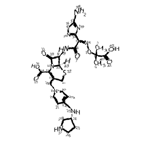 CC(C)(O/N=C(\C(=O)N[C@@H]1C(=O)N2C(C(=O)O)=C(C[n+]3ccc(N[C@@H]4CCNC4)cc3)CS[C@H]12)c1nsc(N)n1)C(=O)O